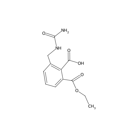 CCOC(=O)c1cccc(CNC(N)=O)c1C(=O)O